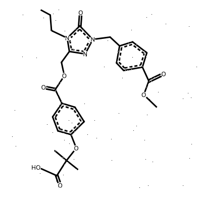 CCCn1c(COC(=O)c2ccc(OC(C)(C)C(=O)O)cc2)nn(Cc2ccc(C(=O)OC)cc2)c1=O